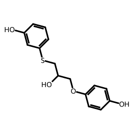 Oc1ccc(OCC(O)CSc2cccc(O)c2)cc1